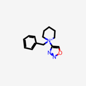 c1ccc(C[N+]2(c3conn3)CCCCC2)cc1